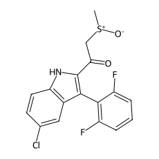 C[S+]([O-])CC(=O)c1[nH]c2ccc(Cl)cc2c1-c1c(F)cccc1F